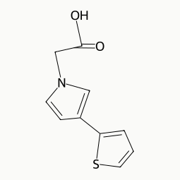 O=C(O)Cn1ccc(-c2cccs2)c1